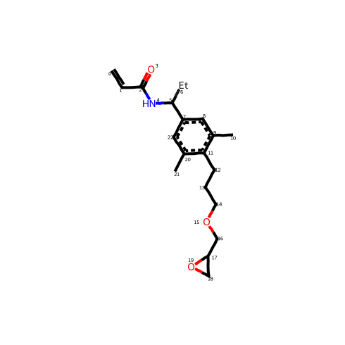 C=CC(=O)NC(CC)c1cc(C)c(CCCOCC2CO2)c(C)c1